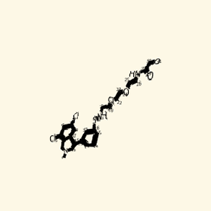 CN1Cc2c(Cl)cc(Cl)cc2C(c2cccc(SNCCOCCOCCNC(=O)C=O)c2)C1